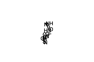 CC(CCNC(=O)c1ccc(-c2ncc[nH]2)cc1)CC(=O)N1CCC2C1C(=O)CN2S(=O)(=O)Cc1cccnc1